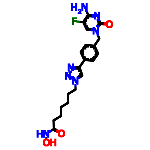 Nc1nc(=O)n(Cc2ccc(-c3cn(CCCCCCC(=O)NO)nn3)cc2)cc1F